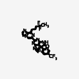 CC(F)(F)CCCc1nc(-c2nc(N)c3c(n2)NC(=O)C3(c2ccc(C(F)(F)F)cn2)C2CC2)cn2ccnc12